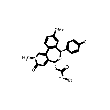 CCNC(=O)C[C@H]1O[C@H](c2ccc(Cl)cc2)c2cc(OC)ccc2-c2cn(C)c(=O)cc21